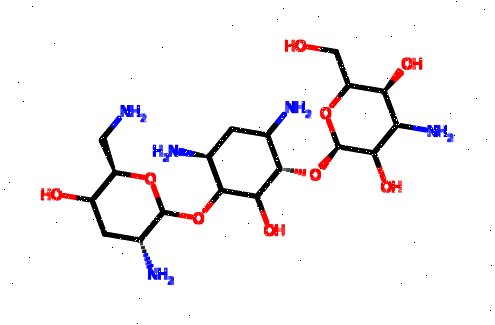 NC[C@H]1OC(OC2C(O)[C@@H](O[C@H]3OC(CO)[C@@H](O)C(N)C3O)C(N)C[C@@H]2N)[C@H](N)CC1O